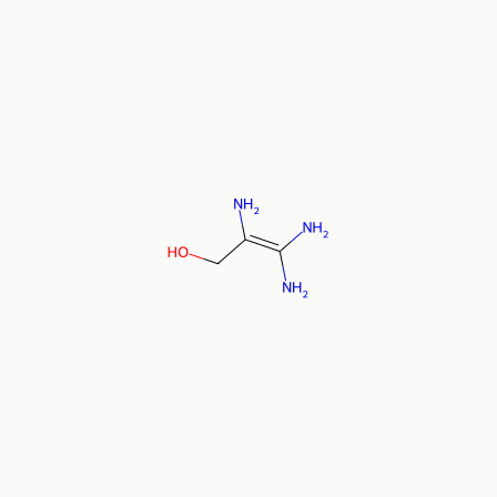 NC(N)=C(N)CO